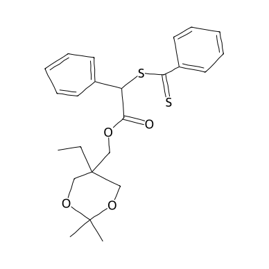 CCC1(COC(=O)C(SC(=S)c2ccccc2)c2ccccc2)COC(C)(C)OC1